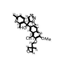 COc1nc2ccc(C(O)(c3ccc(C)nc3C)c3cnnn3C)cc2c(Cl)c1OCC1(C)COC1